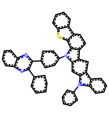 c1ccc(-c2nc3ccccc3nc2-c2ccc(-n3c4cc5c(cc4c4ccc6c7ccccc7sc6c43)c3ccccc3n5-c3ccccc3)cc2)cc1